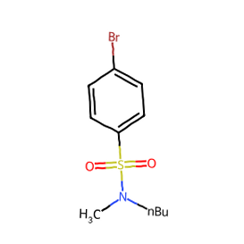 CCCCN(C)S(=O)(=O)c1ccc(Br)cc1